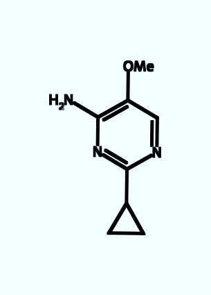 COc1cnc(C2CC2)nc1N